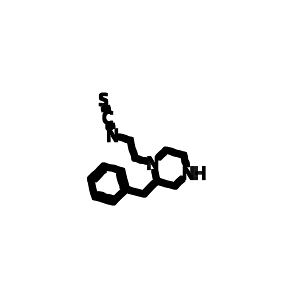 S=C=NCCN1CCNCC1Cc1ccccc1